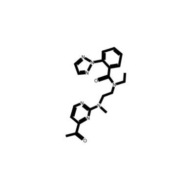 CCN(CCN(C)c1nccc(C(C)=O)n1)C(=O)c1ccccc1-n1nccn1